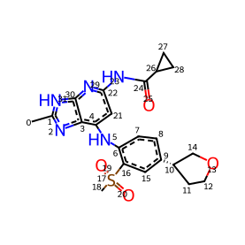 Cc1nc2c(Nc3ccc([C@H]4CCOC4)cc3S(C)(=O)=O)cc(NC(=O)C3CC3)nc2[nH]1